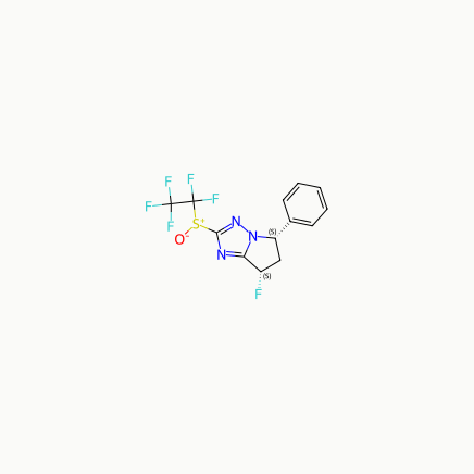 [O-][S+](c1nc2n(n1)[C@H](c1ccccc1)C[C@@H]2F)C(F)(F)C(F)(F)F